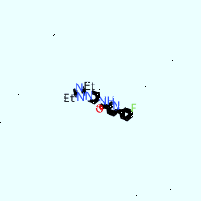 CCc1cnc(CC)c(N2CCC(NC(=O)c3ccc(-c4cccc(F)c4)nc3)CC2)n1